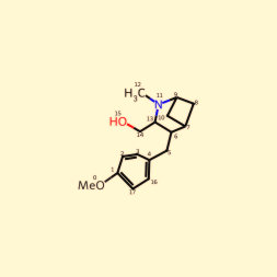 COc1ccc(CC2C3CC(C3)N(C)C2CO)cc1